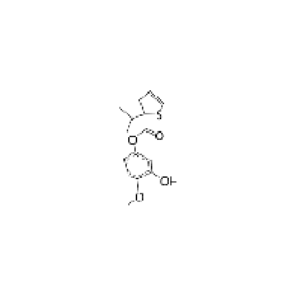 COc1ccc(OC(=O)C2(C(C)C)CC=CS2)cc1O